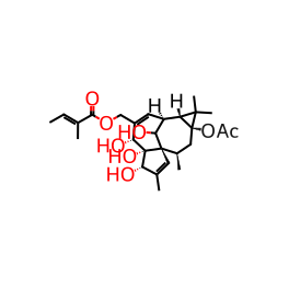 C/C=C(\C)C(=O)OCC1=C[C@@H]2C(O)[C@]3(C=C(C)[C@H](O)[C@@]3(O)[C@@H]1O)[C@H](C)C[C@]1(OC(C)=O)[C@H]2C1(C)C